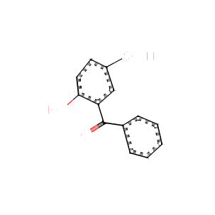 O=C(c1ccccc1)c1cc(S(=O)(=O)O)ccc1O